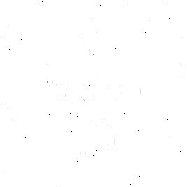 CCOc1cc2c(cc1OCC)C(c1ccc(Cl)cc1)N(c1ccc(N3CCOCC3)cc1OC)C(=O)C2